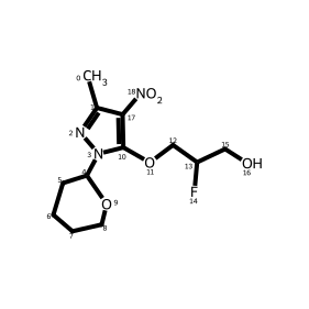 Cc1nn(C2CCCCO2)c(OCC(F)CO)c1[N+](=O)[O-]